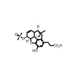 CN1CC[C@]23c4c5c(CCC(=O)O)cc(O)c4O[C@H]2[C@@H](OP(C)(C)=O)C=CC3[C@H]1C5